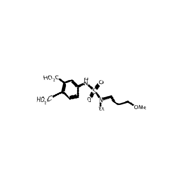 CCN(CCCOC)S(=O)(=O)Nc1ccc(C(=O)O)c(C(=O)O)c1